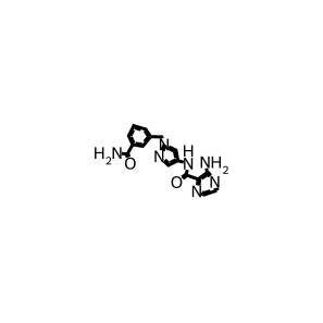 NC(=O)c1cccc(Cn2cc(NC(=O)c3nccnc3N)cn2)c1